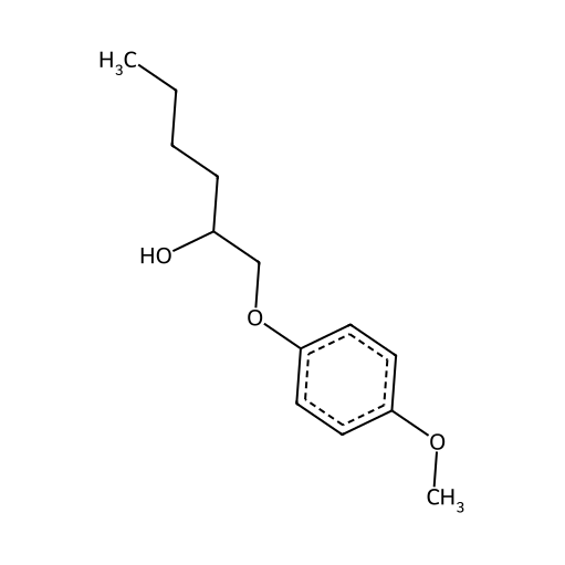 CCCCC(O)COc1ccc(OC)cc1